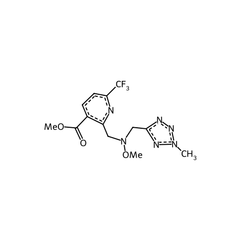 COC(=O)c1ccc(C(F)(F)F)nc1CN(Cc1nnn(C)n1)OC